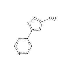 O=C(O)c1csc(-c2ccncc2)c1